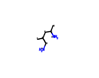 CC(N)CC(C)CN